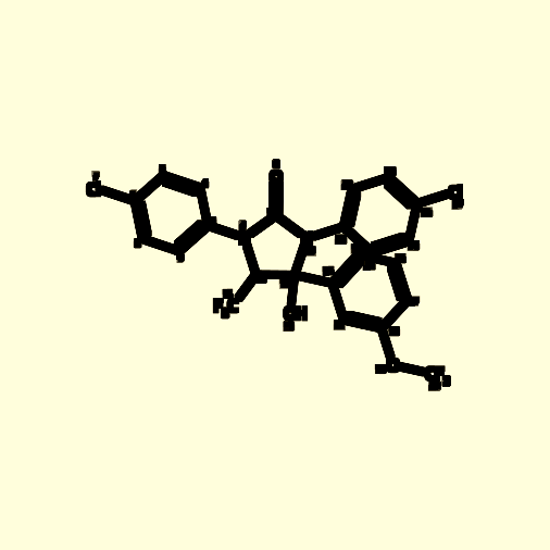 O=C1N(c2ccc(Cl)cc2)C(C(F)(F)F)C(O)(c2cccc(OC(F)(F)F)c2)N1c1ccc(Cl)cc1